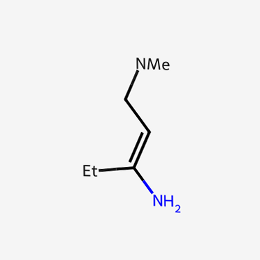 CC/C(N)=C\CNC